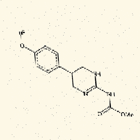 CCCOc1ccc(C2CN=C(NC(=O)OC)NC2)cc1